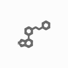 c1ccc(CCc2cccc(-c3cccn4cncc34)c2)cc1